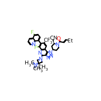 CC/C=C/C(=O)N1CC[C@H](n2nnc3c(N4CC(C)(N(C)C)C4)nc4c(F)c(-c5ccc(F)c6cccnc56)c(C(F)(F)F)cc4c32)C[C@H]1CC#N